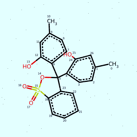 Cc1ccc(C2(c3ccc(C)cc3O)OS(=O)(=O)c3ccccc32)c(O)c1